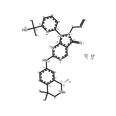 C=CCn1c(=O)c2cnc(Nc3ccc4c(c3)[C@H](C)NCC4(C)C)nc2n1-c1cccc(C(C)(C)O)n1.[Cl-].[H+]